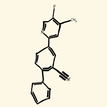 Cc1cc(-c2ccc(-c3ccccc3)c(C#N)c2)ncc1F